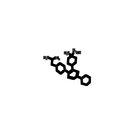 CC(C)CN1CCN(c2ccc(N3CCCCC3)cc2C2CCC(C)(C)CC2)CC1.Cl